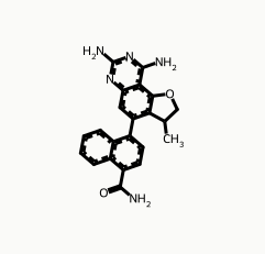 CC1COc2c1c(-c1ccc(C(N)=O)c3ccccc13)cc1nc(N)nc(N)c21